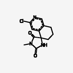 CN1C(=O)NC2(CCCc3cnc(Cl)cc32)C1=O